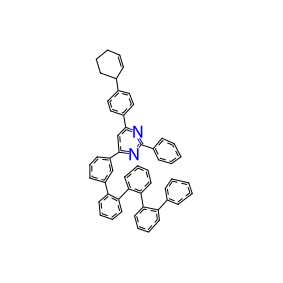 C1=CC(c2ccc(-c3cc(-c4cccc(-c5ccccc5-c5ccccc5-c5ccccc5-c5ccccc5)c4)nc(-c4ccccc4)n3)cc2)CCC1